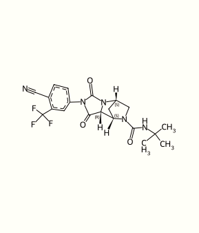 CC(C)(C)NC(=O)N1C[C@@H]2C[C@H]1[C@@H]1C(=O)N(c3ccc(C#N)c(C(F)(F)F)c3)C(=O)N21